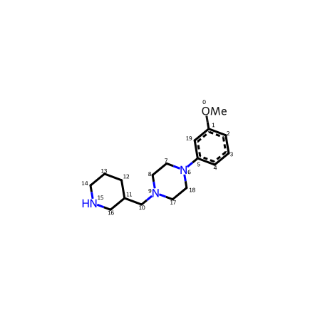 COc1cccc(N2CCN(CC3CCCNC3)CC2)c1